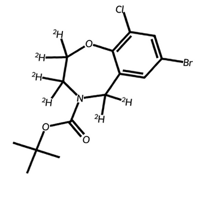 [2H]C1([2H])c2cc(Br)cc(Cl)c2OC([2H])([2H])C([2H])([2H])N1C(=O)OC(C)(C)C